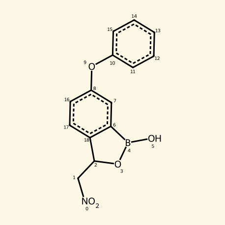 O=[N+]([O-])CC1OB(O)c2cc(Oc3ccccc3)ccc21